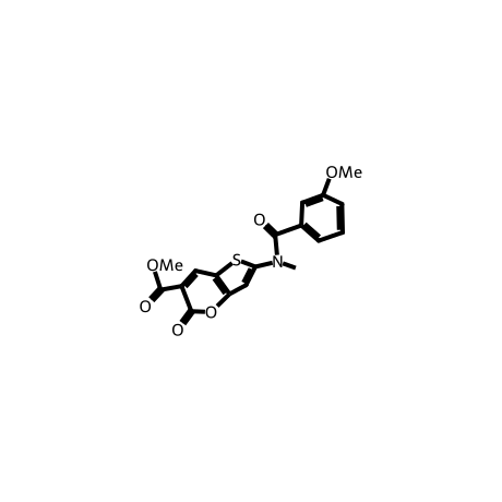 COC(=O)c1cc2sc(N(C)C(=O)c3cccc(OC)c3)cc2oc1=O